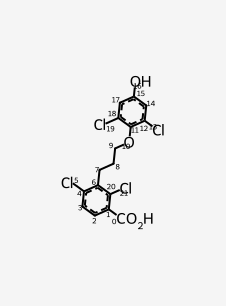 O=C(O)c1ccc(Cl)c(CCCOc2c(Cl)cc(O)cc2Cl)c1Cl